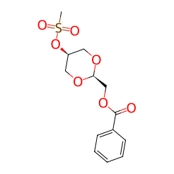 CS(=O)(=O)O[C@H]1CO[C@@H](COC(=O)c2ccccc2)OC1